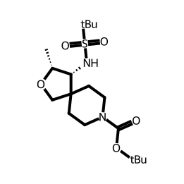 C[C@H]1OCC2(CCN(C(=O)OC(C)(C)C)CC2)[C@H]1NS(=O)(=O)C(C)(C)C